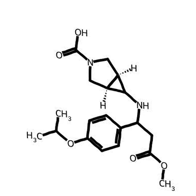 COC(=O)CC(NC1[C@H]2CN(C(=O)O)C[C@@H]12)c1ccc(OC(C)C)cc1